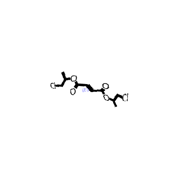 CC(CCl)OC(=O)/C=C/C(=O)OC(C)CCl